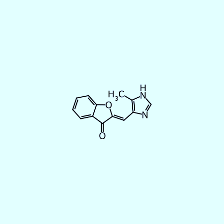 Cc1[nH]cnc1C=C1Oc2ccccc2C1=O